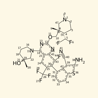 CN1CC[C@H](C(F)F)[C@](C)(COc2nc(N3CCC[C@@](C)(O)C3)c3cc(C(F)(F)F)c(-c4cccc5sc(N)c(C#N)c45)c(F)c3n2)C1